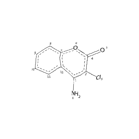 Nc1c(Cl)c(=O)oc2ccccc12